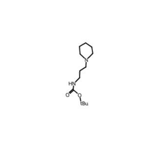 CC(C)(C)OC(=O)NCCCN1CCCCC1